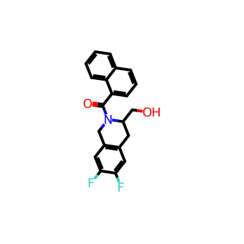 O=C(c1cccc2ccccc12)N1Cc2cc(F)c(F)cc2CC1CO